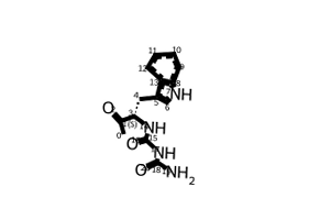 CC(=O)[C@H](Cc1c[nH]c2ccccc12)NC(=O)NC(N)=O